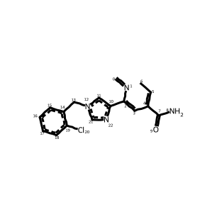 C=N/C(=C\C(=C/C)C(N)=O)c1cn(Cc2ccccc2Cl)cn1